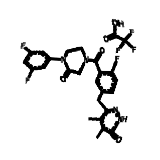 Cc1c(Cc2ccc(F)c(C(=O)N3CCN(c4cc(F)cc(F)c4)C(=O)C3)c2)n[nH]c(=O)c1C.O=C(O)C(F)(F)F